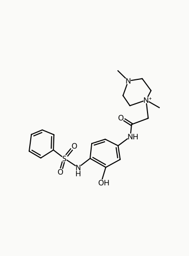 CN1CC[N+](C)(CC(=O)Nc2ccc(NS(=O)(=O)c3ccccc3)c(O)c2)CC1